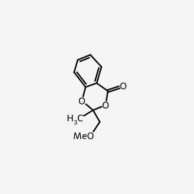 COCC1(C)OC(=O)c2ccccc2O1